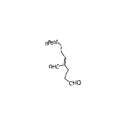 CCCCCCC/C=C(\C=O)CCC=O